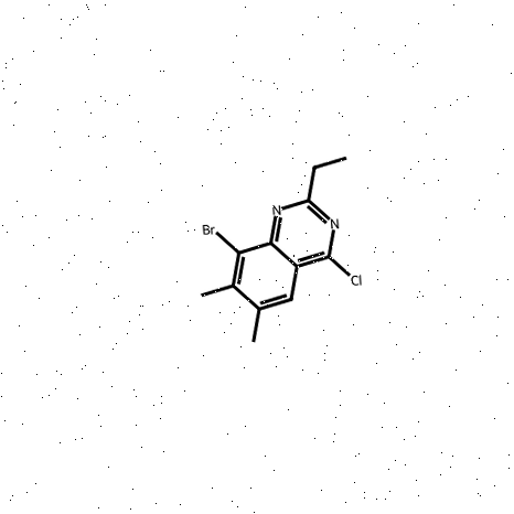 CCc1nc(Cl)c2cc(C)c(C)c(Br)c2n1